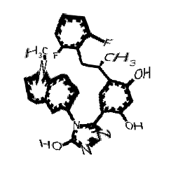 C[C@H](Cc1c(F)cccc1F)c1cc(-c2nnc(O)n2-c2ccc3c(ccn3C)c2)c(O)cc1O